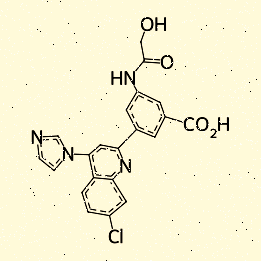 O=C(CO)Nc1cc(C(=O)O)cc(-c2cc(-n3ccnc3)c3ccc(Cl)cc3n2)c1